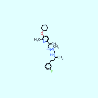 C=C(CCc1cccc(F)c1)NCN(C)/N=C\C(=C)c1ccc(OC2CCCCC2)c(C)n1